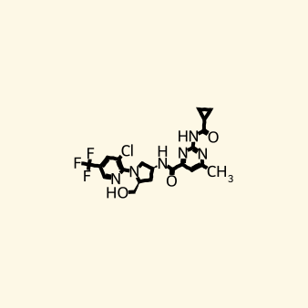 Cc1cc(C(=O)N[C@@H]2C[C@@H](CO)N(c3ncc(C(F)(F)F)cc3Cl)C2)nc(NC(=O)C2CC2)n1